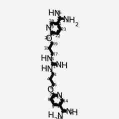 N=C(NCCCOc1ccc(C(=N)N)cn1)NCCCOc1ccc(C(=N)N)cn1